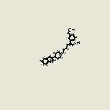 OCc1ccc2[nH]cc(CCCCN3CCC(c4cc5ccccc5[nH]4)CC3)c2c1